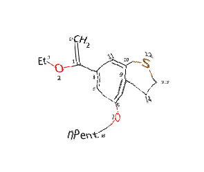 C=C(OCC)c1cc(OCCCCC)c2c(c1)SCC2